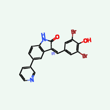 O=C1Nc2ccc(-c3cccnc3)cc2/C1=C/c1cc(Br)c(O)c(Br)c1